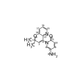 CC1(C)C=C(n2cc(N)ccc2=O)c2ncccc2O1